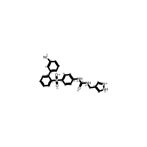 N#Cc1cccc(-c2ccccc2S(=O)(=O)c2ccc(NC(=O)NCc3cn[nH]c3)cc2)c1